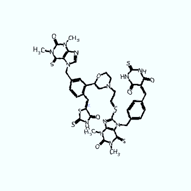 Cn1c(=S)c2c(ncn2Cc2ccc(/C=C3\SC(=S)NC3=O)c(C3CN(CCSc4nc5c(c(=S)n(C)c(=O)n5C)n4Cc4ccc(C=C5C(=O)NC(=S)NC5=O)cc4)CCO3)c2)n(C)c1=O